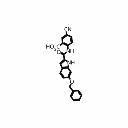 N#Cc1ccc(NC(=O)c2cc3ccc(OCc4ccccc4)cc3[nH]2)c(C(=O)O)c1